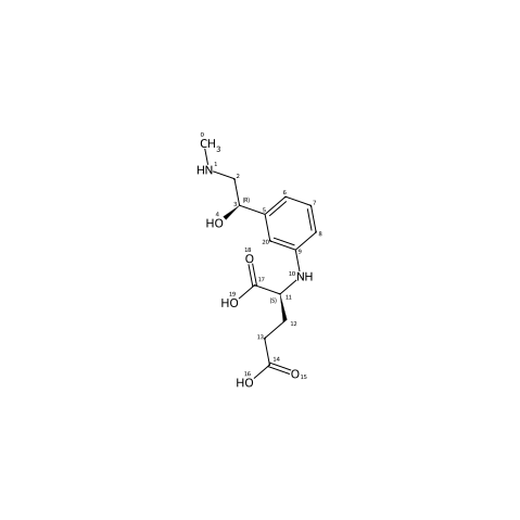 CNC[C@H](O)c1cccc(N[C@@H](CCC(=O)O)C(=O)O)c1